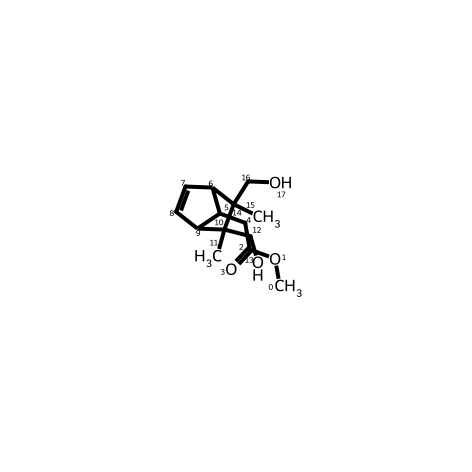 COC(=O)CC1C2C=CC1C(C)(CO)C2(C)CO